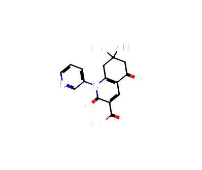 CC1(C)CC(=O)c2cc(C(=O)O)c(=O)n(-c3cccnc3)c2C1